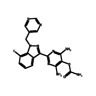 NC(=O)Oc1c(N)nc(-c2nn(Cc3cncnc3)c3c(F)cccc23)nc1N